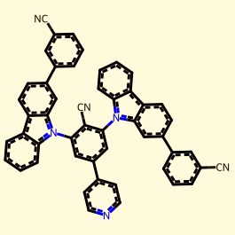 N#Cc1cccc(-c2ccc3c4ccccc4n(-c4cc(-c5ccncc5)cc(-n5c6ccccc6c6ccc(-c7cccc(C#N)c7)cc65)c4C#N)c3c2)c1